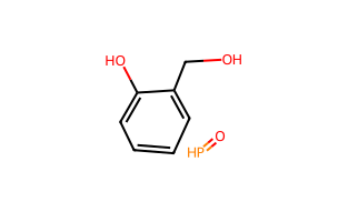 O=P.OCc1ccccc1O